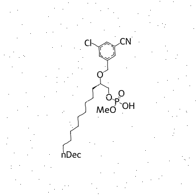 CCCCCCCCCCCCCCCCCCC[C@H](COP(=O)(O)OC)OCc1cc(Cl)cc(C#N)c1